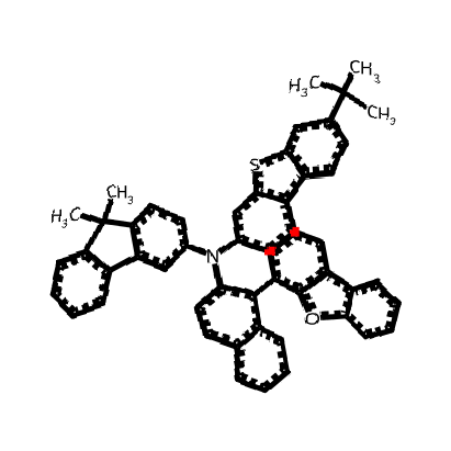 CC(C)(C)c1ccc2c(c1)sc1cc(N(c3ccc4c(c3)-c3ccccc3C4(C)C)c3ccc4ccccc4c3-c3cccc4c3oc3ccccc34)ccc12